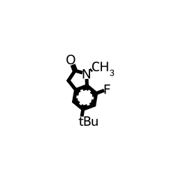 CN1C(=O)Cc2cc(C(C)(C)C)cc(F)c21